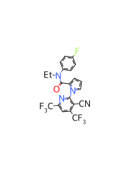 CCN(C(=O)c1cccn1-c1nc(C(F)(F)F)cc(C(F)(F)F)c1C#N)c1ccc(F)cc1